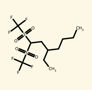 CCCCC(CC)CC(S(=O)(=O)C(F)(F)F)S(=O)(=O)C(F)(F)F